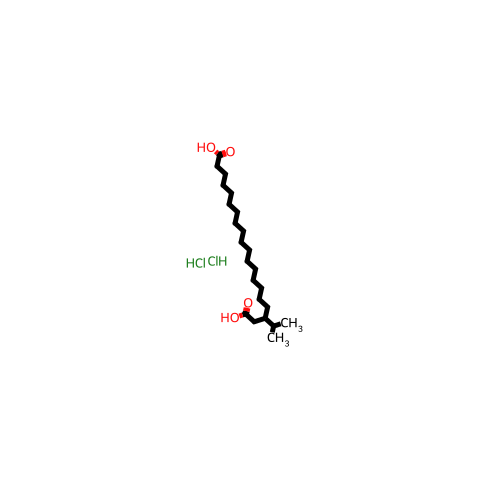 CC(C)C(CCCCCCCCCCCCCCCCC(=O)O)CC(=O)O.Cl.Cl